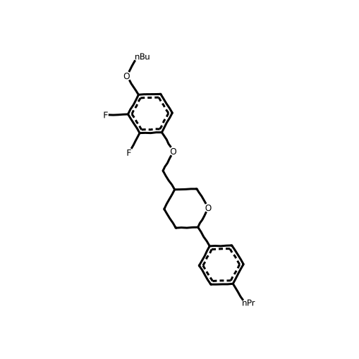 CCCCOc1ccc(OCC2CCC(c3ccc(CCC)cc3)OC2)c(F)c1F